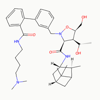 C[C@H](O)[C@@H]1[C@H](CO)ON(Cc2cccc(-c3ccccc3C(=O)NCCCCN(C)C)c2)[C@@H]1C(=O)N[C@H]1C[C@H]2CC([C@@H]1C)C2(C)C